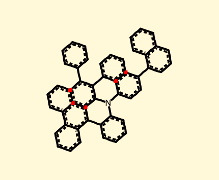 c1ccc(-c2cccc(N(c3ccc(-c4cccc5ccccc45)cc3)c3ccccc3-c3cc4ccccc4c4ccccc34)c2-c2ccccc2)cc1